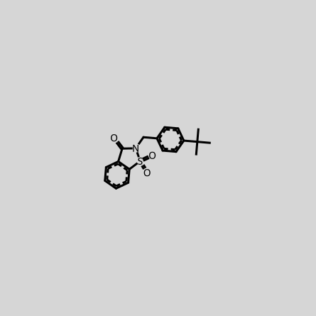 CC(C)(C)c1ccc(CN2C(=O)c3ccccc3S2(=O)=O)cc1